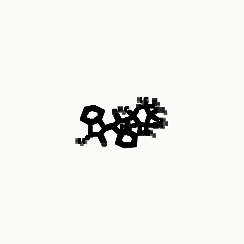 CC(=O)OC1(C)C(C)(N2C(=O)/C(=C3/C(=O)N(C)c4ccccc43)c3ccccc32)OC(C)(C)C(C)(C)C1(C)OC(C)=O